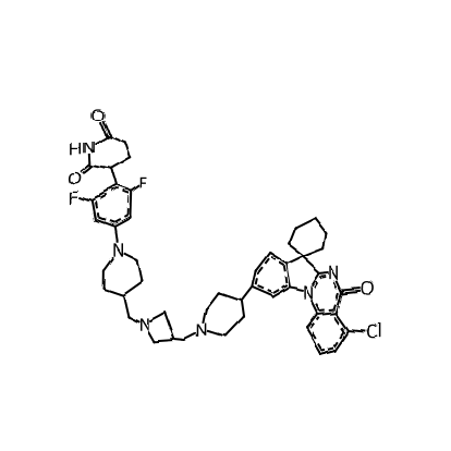 O=C1CCC(c2c(F)cc(N3CCC(CN4CC(CN5CCC(c6ccc7c(c6)-n6c(nc(=O)c8c(Cl)cccc86)C76CCCCC6)CC5)C4)CC3)cc2F)C(=O)N1